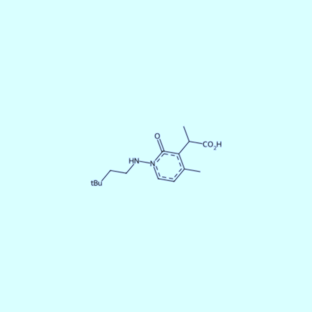 Cc1ccn(NCCC(C)(C)C)c(=O)c1C(C)C(=O)O